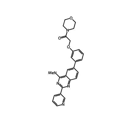 CNc1nc(-c2cccnc2)nc2ccc(-c3cccc(OCC(=O)N4CCOCC4)c3)cc12